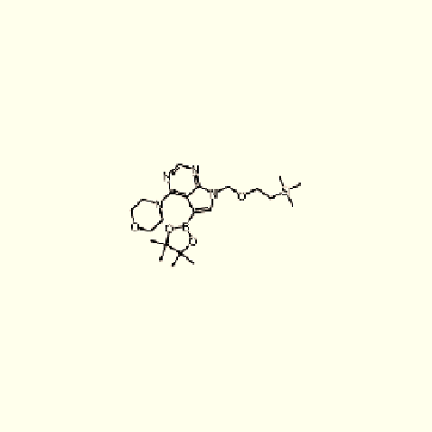 CC1(C)OB(c2cn(COCC[Si](C)(C)C)c3ncnc(N4CCOCC4)c23)OC1(C)C